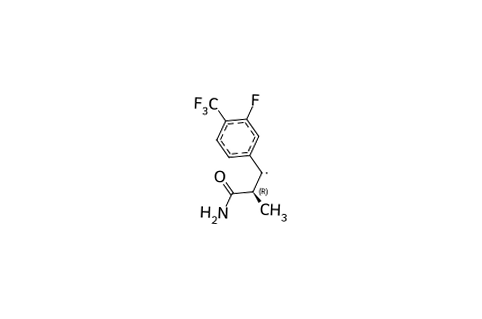 C[C@H]([CH]c1ccc(C(F)(F)F)c(F)c1)C(N)=O